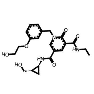 CCNC(=O)c1cc(C(=O)N[C@H]2C[C@@H]2CO)cn(Cc2cccc(OCCO)c2)c1=O